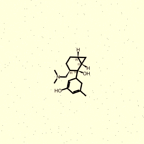 CC1=CC(O)=CC([C@]2(O)[C@@H](CN(C)C)CC[C@@H]3C[C@@H]32)C1